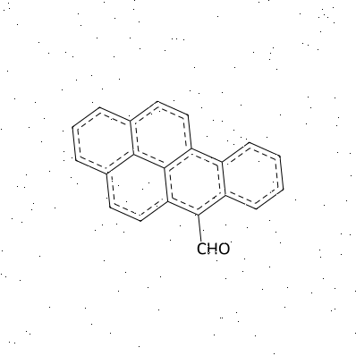 O=Cc1c2ccccc2c2ccc3cccc4ccc1c2c43